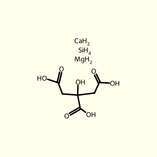 O=C(O)CC(O)(CC(=O)O)C(=O)O.[CaH2].[MgH2].[SiH4]